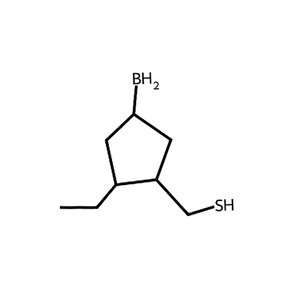 BC1CC(CC)C(CS)C1